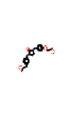 O=C1/C(=C/c2ccc(CC3CO3)cc2)CC/C1=C\c1ccc(OCC2CO2)cc1